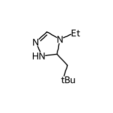 CCN1C=NNC1CC(C)(C)C